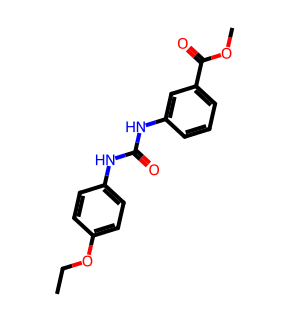 CCOc1ccc(NC(=O)Nc2cccc(C(=O)OC)c2)cc1